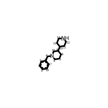 c1ccc(CN2CCCC(C3CCNCC3)C2)cc1